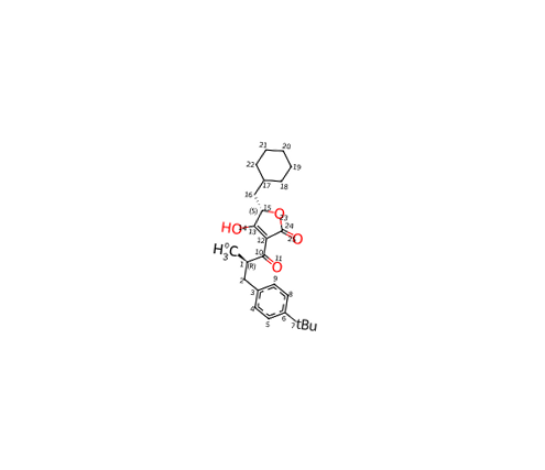 C[C@H](Cc1ccc(C(C)(C)C)cc1)C(=O)C1=C(O)[C@H](CC2CCCCC2)OC1=O